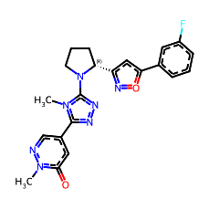 Cn1c(-c2cnn(C)c(=O)c2)nnc1N1CCC[C@@H]1c1cc(-c2cccc(F)c2)on1